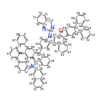 c1ccc(-c2cccc(-c3cccc(N(c4ccc5ccccc5c4)c4c5ccccc5c(-c5ccc6c(c5)c5c7ccccc7c7c8cc9c%10ccccc%10c%10ccccc%10c9cc8oc7c5n6-c5ncc6ccccc6n5)c5ccccc45)c3)c2)cc1